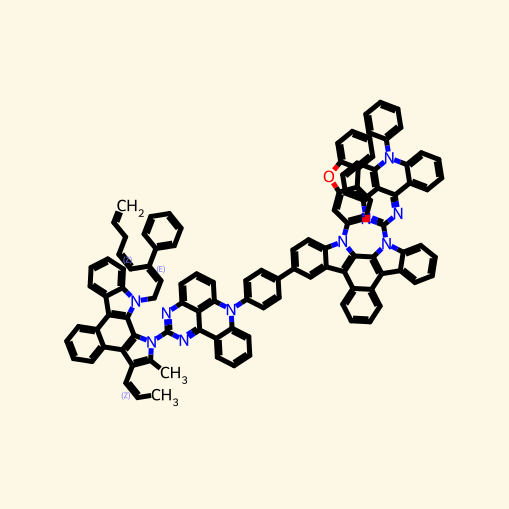 C=CC/C=C\C(=C/Cn1c2ccccc2c2c3ccccc3c3c(/C=C\C)c(C)n(-c4nc5c6c(cccc6n4)N(c4ccc(-c6ccc7c(c6)c6c8ccccc8c8c9ccccc9n(-c9nc%10c%11c(cccc%11n9)N(c9ccccc9)c9ccccc9-%10)c8c6n7-c6ccc7c(c6)oc6ccccc67)cc4)c4ccccc4-5)c3c21)c1ccccc1